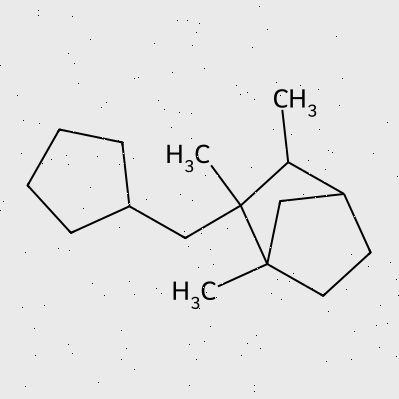 CC1C2CCC(C)(C2)C1(C)CC1CCCC1